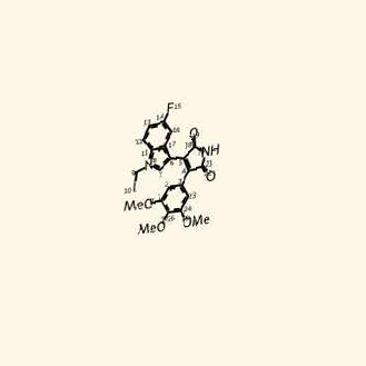 COc1cc(C2=C(c3cn(CI)c4ccc(F)cc34)C(=O)NC2=O)cc(OC)c1OC